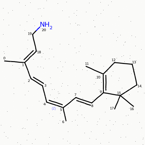 CC(C=C/C=C(/C)C=CC1=C(C)CCCC1(C)C)=CCN